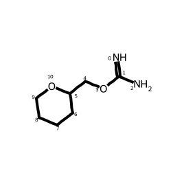 N=C(N)OCC1CCCCO1